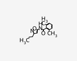 CCCc1cc(NC(=O)c2c(C)cccc2C)on1